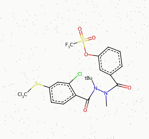 CN(C(=O)c1cccc(OS(=O)(=O)C(F)(F)F)c1)N(C(=O)c1ccc(SC(Cl)(Cl)Cl)cc1Cl)C(C)(C)C